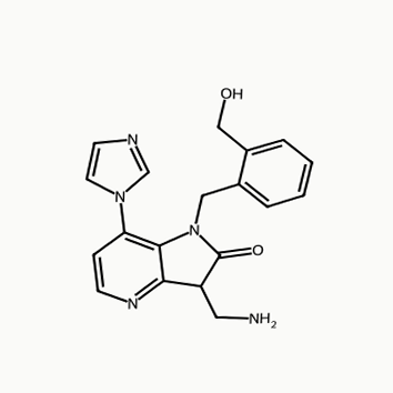 NCC1C(=O)N(Cc2ccccc2CO)c2c(-n3ccnc3)ccnc21